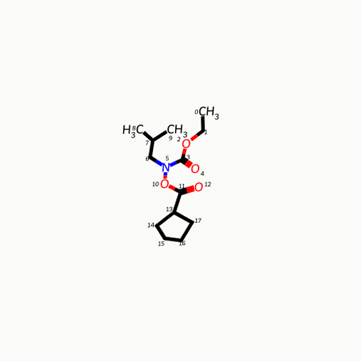 CCOC(=O)N(CC(C)C)OC(=O)C1CCCC1